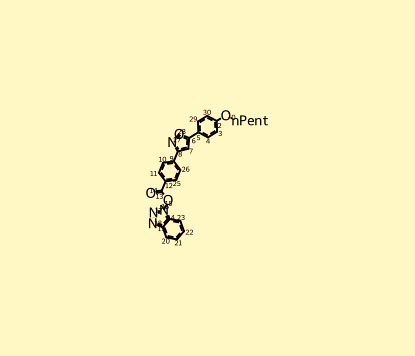 CCCCCOc1ccc(-c2cc(-c3ccc(C(=O)On4nnc5ccccc54)cc3)no2)cc1